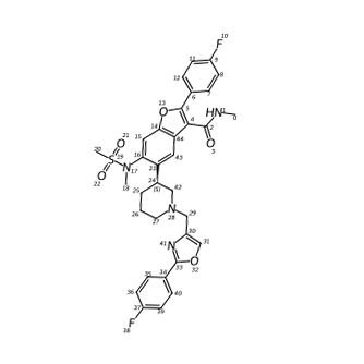 CNC(=O)c1c(-c2ccc(F)cc2)oc2cc(N(C)S(C)(=O)=O)c([C@@H]3CCCN(Cc4coc(-c5ccc(F)cc5)n4)C3)cc12